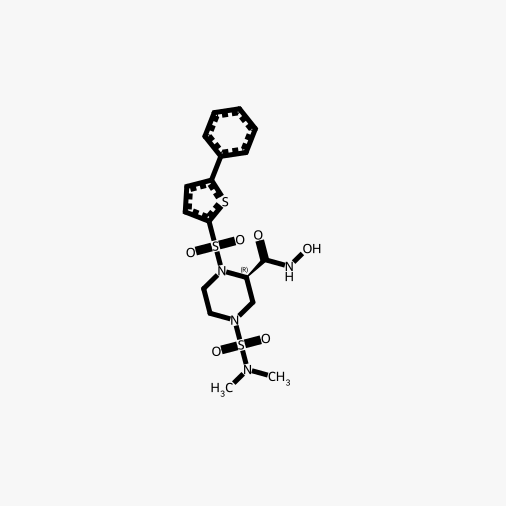 CN(C)S(=O)(=O)N1CCN(S(=O)(=O)c2ccc(-c3ccccc3)s2)[C@@H](C(=O)NO)C1